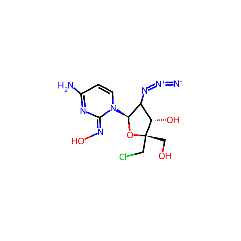 [N-]=[N+]=NC1[C@H](n2ccc(N)n/c2=N\O)O[C@@](CO)(CCl)[C@H]1O